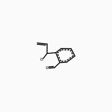 C=CC(Cl)c1ccccc1C=O